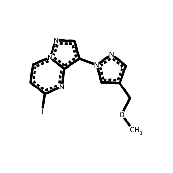 COCc1cnn(-c2cnn3ccc(I)nc23)c1